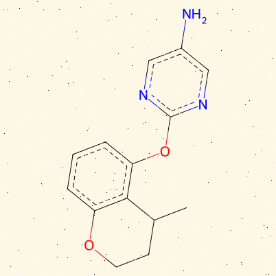 CC1CCOc2cccc(Oc3ncc(N)cn3)c21